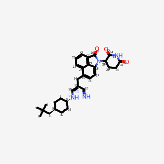 CC(C)(C)C[C@H]1CC[C@H](N/C=C(\C=N)Cc2ccc3c4c(cccc24)C(=O)N3C2CCC(=O)NC2=O)CC1